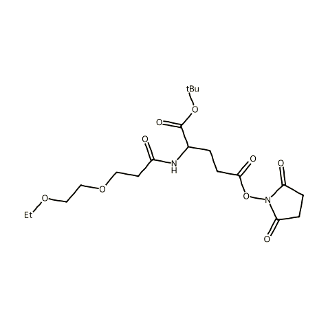 CCOCCOCCC(=O)NC(CCC(=O)ON1C(=O)CCC1=O)C(=O)OC(C)(C)C